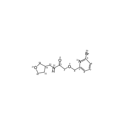 O=C(COCc1cccc(Br)n1)NCC1CCOC1